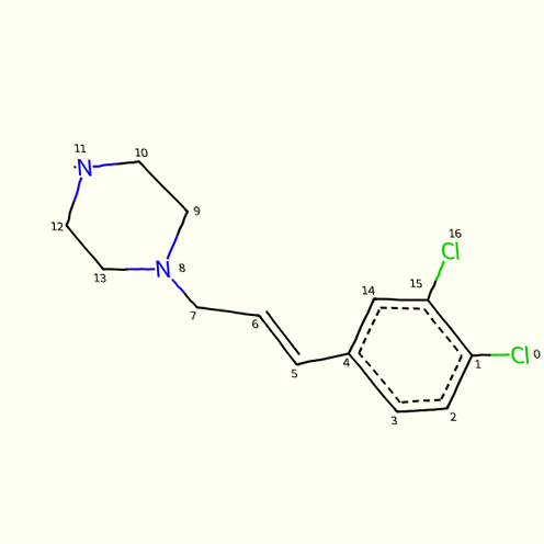 Clc1ccc(/C=C/CN2CC[N]CC2)cc1Cl